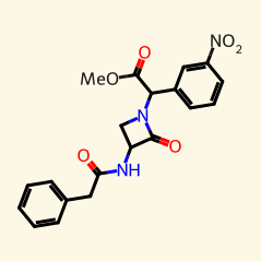 COC(=O)C(c1cccc([N+](=O)[O-])c1)N1CC(NC(=O)Cc2ccccc2)C1=O